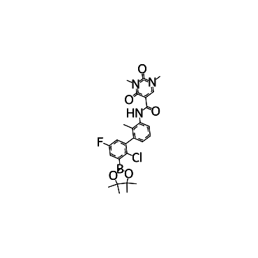 Cc1c(NC(=O)c2cn(C)c(=O)n(C)c2=O)cccc1-c1cc(F)cc(B2OC(C)(C)C(C)(C)O2)c1Cl